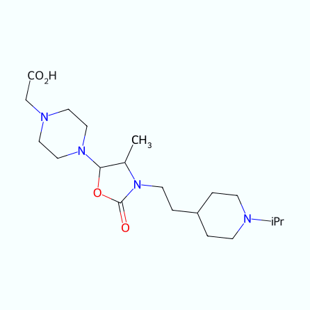 CC(C)N1CCC(CCN2C(=O)OC(N3CCN(CC(=O)O)CC3)C2C)CC1